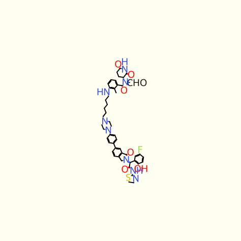 Cc1c(NCCCCCCN2CCN(c3ccc(-c4ccc5c(c4)C(=O)N(C(C(=O)NC4=NCCS4)c4cc(F)ccc4O)C5)cc3)CC2)cccc1C(=O)N(C=O)C1CCC(=O)NC1=O